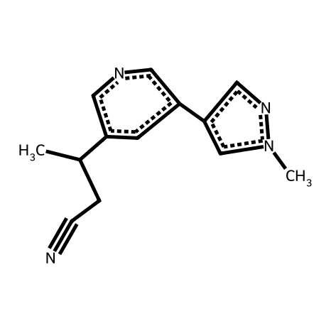 CC(CC#N)c1cncc(-c2cnn(C)c2)c1